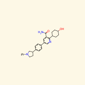 CC(C)N1CCC(c2ccc(-c3cnc(C4CCC(O)CC4)c(C(N)=O)c3)cc2)C1